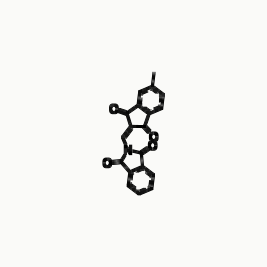 Cc1ccc2c(c1)C(=O)/C(=C/N1C(=O)c3ccccc3C1=O)C2=O